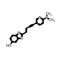 CN([11CH3])c1ccc(C#C/C=C/c2nc3ccc(O)cc3s2)cn1